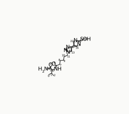 CC(C)[C@H](NC(=O)CCCCCn1cc(-c2cnc(SO)nc2)nn1)C(N)=O